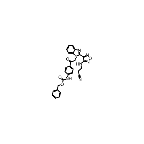 N#CCCNc1nonc1-c1nc2ccccc2n1CC(=O)c1ccc(NC(=O)OCc2ccccc2)cc1